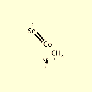 C.[Co]=[Se].[Ni]